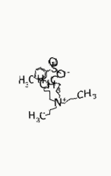 CCCC[N+](CCCC)(CCCC)CCCC.Cc1ccc(S(=O)[O-])cc1